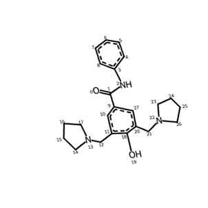 O=C(Nc1ccccc1)c1cc(CN2CCCC2)c(O)c(CN2CCCC2)c1